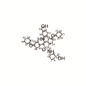 O=C(C(CNc1cccc(CO)c1)c1ccc(Oc2ccccc2)cc1)C(CNc1cccc(CO)c1)c1ccc(Oc2ccccc2)cc1